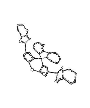 c1ccc2c(c1)-c1ccccc1C21c2cc(-c3nc4ccccc4o3)ccc2Oc2ccc(-c3nc4ccccc4o3)cc21